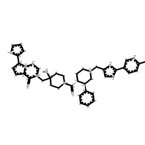 Cc1ccc(-c2ncc(CN3CC[C@@H](C(=O)N4CCC(O)(Cn5cnn6c(-c7ccco7)ccc6c5=O)CC4)[C@H](c4ccccc4)C3)s2)cn1